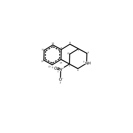 O=[N+]([O-])C12CNCC(Cc3ccccc31)C2